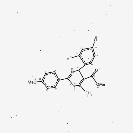 COC(=O)C1=C(C)NC(c2ccc(OC)cc2)=NC1c1ccc(Cl)cc1F